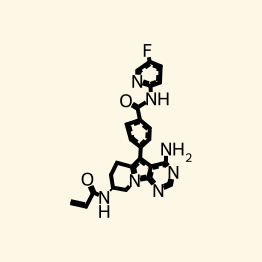 C=CC(=O)N[C@@H]1CCc2c(-c3ccc(C(=O)Nc4ccc(F)cn4)cc3)c3c(N)ncnc3n2C1